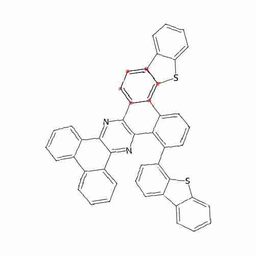 c1ccc(-c2nc3c4ccccc4c4ccccc4c3nc2-c2c(-c3cccc4c3sc3ccccc34)cccc2-c2cccc3c2sc2ccccc23)cc1